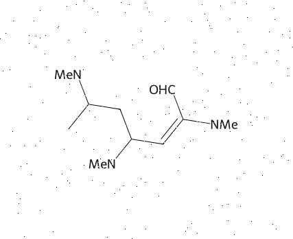 CNC(C=O)=CC(CC(C)NC)NC